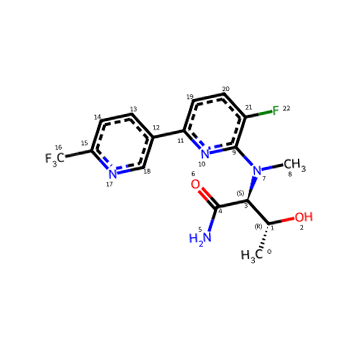 C[C@@H](O)[C@@H](C(N)=O)N(C)c1nc(-c2ccc(C(F)(F)F)nc2)ccc1F